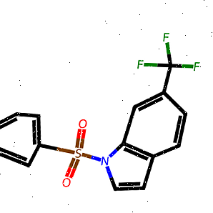 O=S(=O)(c1ccccc1)n1ccc2ccc(C(F)(F)F)cc21